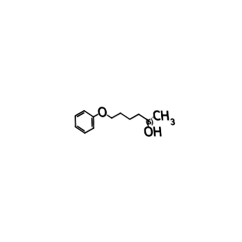 C[C@H](O)CCCCOc1ccccc1